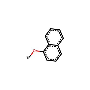 [Ti][O]c1cccc2ccccc12